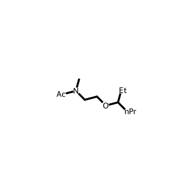 CCCC(CC)OCCN(C)C(C)=O